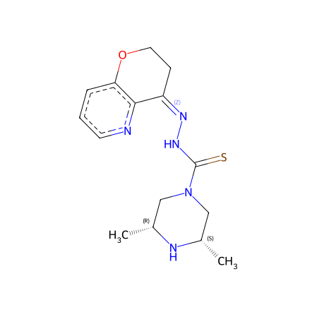 C[C@@H]1CN(C(=S)N/N=C2/CCOc3cccnc32)C[C@H](C)N1